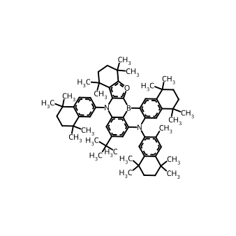 Cc1cc2c(cc1N1c3cc4c(cc3B3c5oc6c(c5N(c5ccc7c(c5)C(C)(C)CCC7(C)C)c5cc(C(C)(C)C)cc1c53)C(C)(C)CCC6(C)C)C(C)(C)CCC4(C)C)C(C)(C)CCC2(C)C